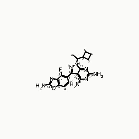 CC(C1CCC1)n1nc(-c2ccc3oc(N)nc3c2F)c2c(N)nc(N)nc21